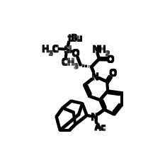 CC(=O)N(c1cccc2c(=O)n([C@H](CO[Si](C)(C)C(C)(C)C)C(N)=O)ccc12)C1C2CC3CC(C2)CC1C3